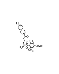 CCN1CCC2(CC1)CCN(C(=O)CCCN(C)S(=O)(=O)c1c(C)cc(OC)cc1C)CC2